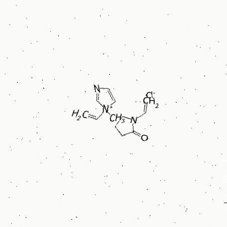 C=CN1CCCC1=O.C=C[N+]1(C)C=CN=C1.[Cl-]